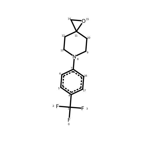 FC(F)(F)c1ccc(N2CCC3(CC2)CO3)cc1